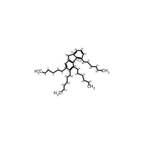 CCCCCCc1[c]c2c(c(CCCCCC)c1CCCCCC)-c1c(CCCCCC)cccc1C2